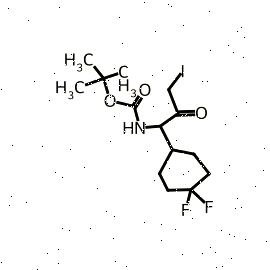 CC(C)(C)OC(=O)NC(C(=O)CI)C1CCC(F)(F)CC1